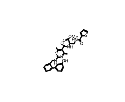 COC(=O)C(CNC(=O)c1cccs1)NC(=O)c1c(C)nc(NCc2ccccc2-c2cccc(O)c2)nc1C